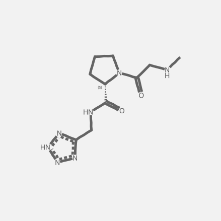 CNCC(=O)N1CCC[C@H]1C(=O)NCc1nn[nH]n1